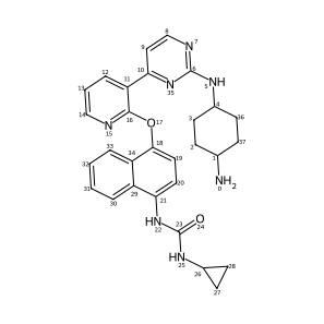 NC1CCC(Nc2nccc(-c3cccnc3Oc3ccc(NC(=O)NC4CC4)c4ccccc34)n2)CC1